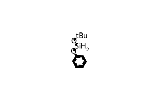 CC(C)(C)O[SiH2]Oc1ccccc1